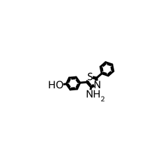 Nc1nc(-c2ccccc2)sc1-c1ccc(O)cc1